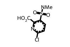 CNS(=O)(=O)c1ccc(Cl)nc1C(=O)O